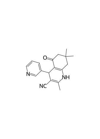 CC1=C(C#N)C(c2cccnc2)C2=C(CC(C)(C)CC2=O)N1